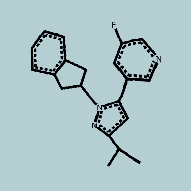 CC(C)c1cc(-c2cncc(F)c2)n(C2Cc3ccccc3C2)n1